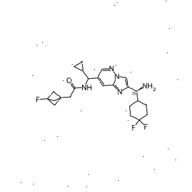 N[C@H](c1cn2ncc(C(NC(=O)CC34CC(F)(C3)C4)C3CC3)cc2n1)C1CCC(F)(F)CC1